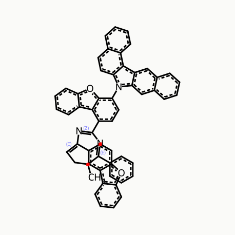 CC1C/C=C(c2ccc3oc4ccccc4c3c2)/N=C(c2ccc(-n3c4cc5ccccc5cc4c4c5ccccc5ccc43)c3oc4ccccc4c23)\N=C/1c1ccccc1